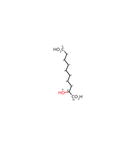 O=C(O)CCCCCCCC(O)C(=O)O